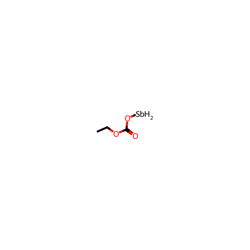 CCOC(=O)[O][SbH2]